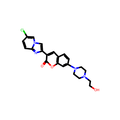 O=c1oc2cc(N3CCN(CCO)CC3)ccc2cc1-c1cn2cc(Cl)ccc2n1